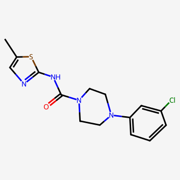 Cc1cnc(NC(=O)N2CCN(c3cccc(Cl)c3)CC2)s1